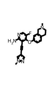 CN1CCc2ccc(Oc3c(F)cnc(N)c3C#Cc3cnn(C)c3)cc2C1